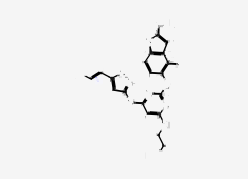 C/C=C/c1cc(Nc2cc(NCCO)nc(Oc3ccc4[nH]c(C)cc4c3F)n2)n[nH]1